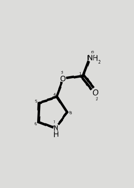 NC(=O)OC1CCNC1